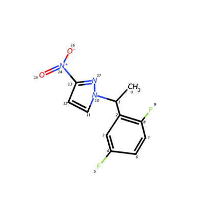 CC(c1cc(F)ccc1F)n1ccc([N+](=O)[O-])n1